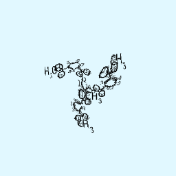 COC(=O)c1cccc(C(=O)OCCC(C)(CCOC(=O)c2cccc(C(=O)OC)c2)OC(=O)c2cccc(C(=O)OC)c2)c1